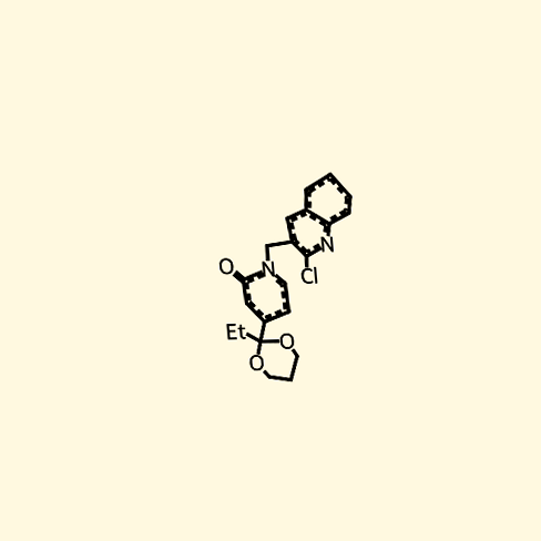 CCC1(c2ccn(Cc3cc4ccccc4nc3Cl)c(=O)c2)OCCCO1